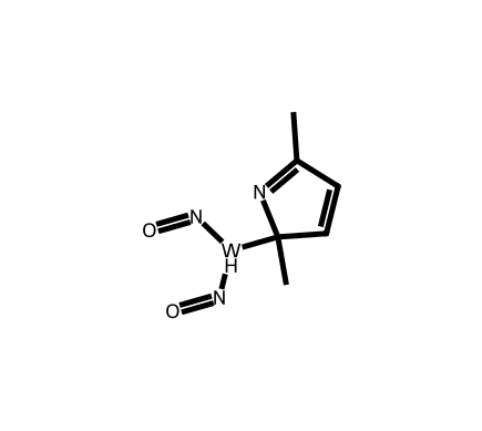 CC1=N[C](C)([WH]([N]=O)[N]=O)C=C1